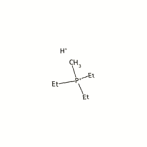 CC[P+](C)(CC)CC.[H+]